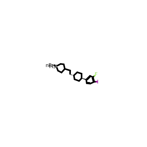 CCC[SiH]1CCC(CC[C@H]2CC[C@H](c3ccc(I)c(F)c3)CC2)CC1